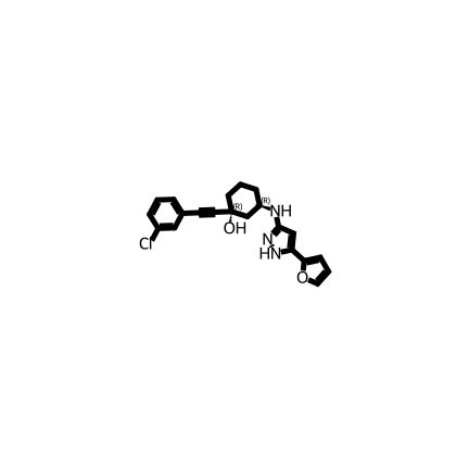 O[C@]1(C#Cc2cccc(Cl)c2)CCC[C@@H](Nc2cc(-c3ccco3)[nH]n2)C1